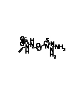 C#CCN/C(=C\[N+](=O)[O-])NCc1ccc(-c2csc(N=C(N)N)n2)o1